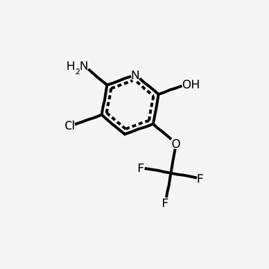 Nc1nc(O)c(OC(F)(F)F)cc1Cl